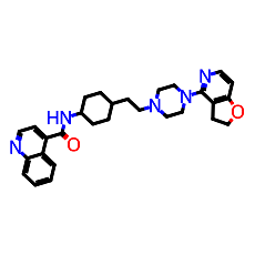 O=C(NC1CCC(CCN2CCN(c3nccc4c3CCO4)CC2)CC1)c1ccnc2ccccc12